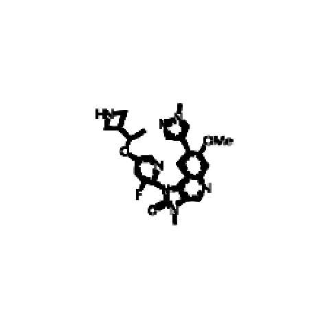 COc1cc2ncc3c(c2cc1-c1cnn(C)c1)n(-c1ncc(OC(C)C2CNC2)cc1F)c(=O)n3C